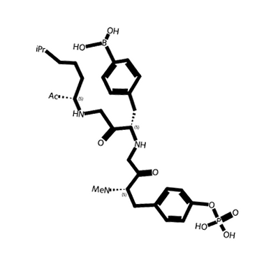 CN[C@@H](Cc1ccc(OP(=O)(O)O)cc1)C(=O)CN[C@@H](Cc1ccc(B(O)O)cc1)C(=O)CN[C@@H](CCCC(C)C)C(C)=O